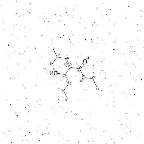 CCCC(O)/C(=C\C(C)C)C(=O)OCC